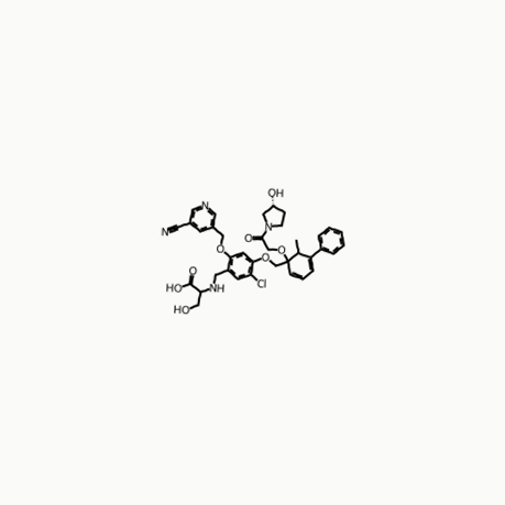 CC1C(c2ccccc2)=CC=CC1(COc1cc(OCc2cncc(C#N)c2)c(CNC(CO)C(=O)O)cc1Cl)OCC(=O)N1CC[C@@H](O)C1